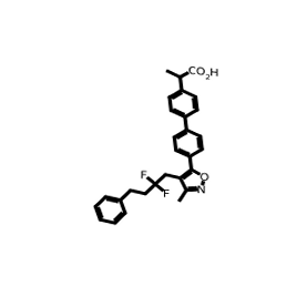 Cc1noc(-c2ccc(-c3ccc(C(C)C(=O)O)cc3)cc2)c1CC(F)(F)CCc1ccccc1